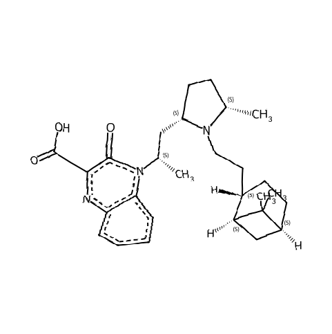 C[C@H]1CC[C@@H](C[C@H](C)n2c(=O)c(C(=O)O)nc3ccccc32)N1CC[C@@H]1CC[C@H]2C[C@@H]1C2(C)C